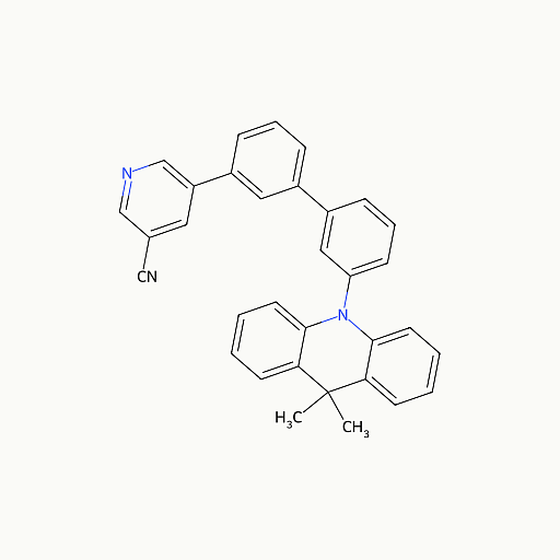 CC1(C)c2ccccc2N(c2cccc(-c3cccc(-c4cncc(C#N)c4)c3)c2)c2ccccc21